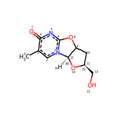 Cc1cn2c(nc1=O)OC1C[C@@H](CO)O[C@H]12